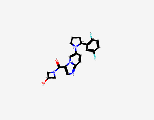 O=C(c1cnc2ccc(N3CCCC3c3cc(F)ccc3F)cn12)N1CC(O)C1